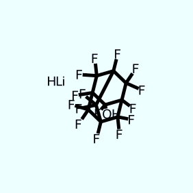 OC1(F)C2(F)C(F)(F)C3(F)C(F)(F)C1(F)C(F)(F)C(F)(C2(F)F)C3(F)F.[LiH]